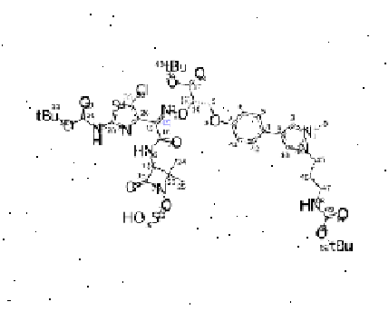 C[n+]1cc(-c2ccc(OC[C@H](O/N=C(\C(=O)N[C@@H]3C(=O)N(OS(=O)(=O)O)C3(C)C)c3nc(NC(=O)OC(C)(C)C)sc3Cl)C(=O)OC(C)(C)C)cc2)cn1CCCNC(=O)OC(C)(C)C